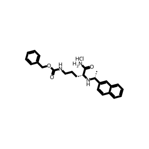 C[C@@H](N[C@H](CCCNC(=O)OCc1ccccc1)C(N)=O)c1ccc2ccccc2c1.Cl